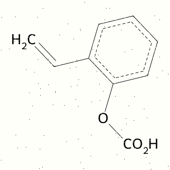 C=Cc1ccccc1OC(=O)O